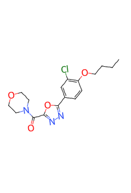 CCCCOc1ccc(-c2nnc(C(=O)N3CCOCC3)o2)cc1Cl